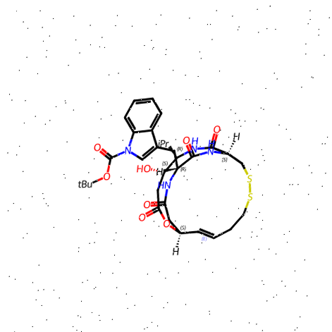 CC(C)[C@H]1NC(=O)[C@H]2CSSCC/C=C/[C@H](CC(=O)N[C@H](Cc3cn(C(=O)OC(C)(C)C)c4ccccc34)C(=O)N2)OC(=O)C[C@@H]1O